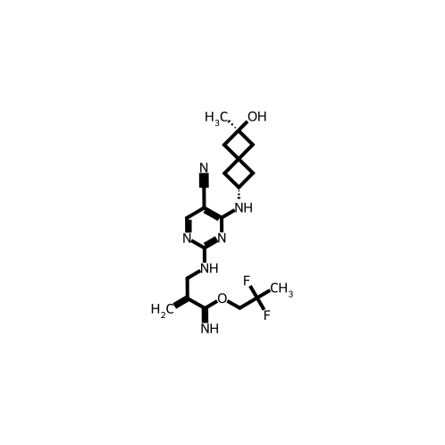 C=C(CNc1ncc(C#N)c(N[C@H]2CC3(C2)C[C@](C)(O)C3)n1)C(=N)OCC(C)(F)F